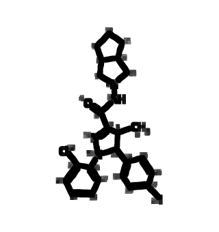 CC1C(C(=O)NN2CC3CCCC3C2)=NN(c2ccccc2Cl)C1c1ccc(I)cc1